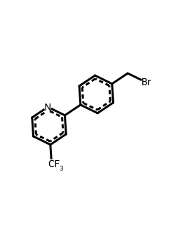 FC(F)(F)c1ccnc(-c2ccc(CBr)cc2)c1